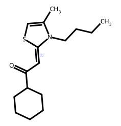 CCCCN1C(C)=CS/C1=C\C(=O)C1CCCCC1